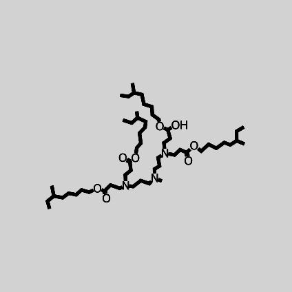 CCC(C)CCCCCOC(=O)CCN(CCCN(C)CCCN(CCC(=O)OCCCCCC(C)CC)CCC(O)OCCCCCC(C)CC)CCC(=O)OCCCCCC(C)CC